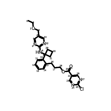 CCOCc1cnc(NC2(c3ccccc3CCCOC(=O)c3cnc(Cl)nc3)CCC2)nc1